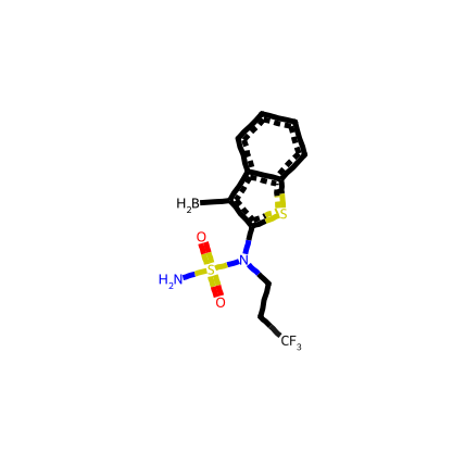 Bc1c(N(CCC(F)(F)F)S(N)(=O)=O)sc2ccccc12